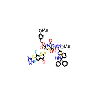 CON=C(C(=O)NC1C(=O)N2CC(CSc3cc(=O)c4cc(F)c(Sc5nncn5C)c(F)c4s3)(C(=O)OCc3ccc(OC)cc3)C[S+]([O-])[C@H]12)c1csc(NC(c2ccccc2)(c2ccccc2)c2ccccc2)n1